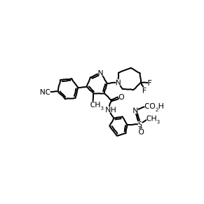 Cc1c(-c2ccc(C#N)cc2)cnc(N2CCCC(F)(F)CC2)c1C(=O)Nc1cccc(S(C)(=O)=NC(=O)O)c1